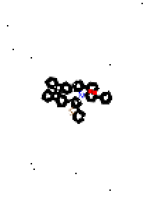 c1ccc(-c2ccc(N(c3cc(-c4ccc5c(c4)C4(c6ccccc6-c6ccccc64)c4ccccc4-5)c4sc5ccccc5c4c3)c3ccccc3-c3ccccc3)cc2)cc1